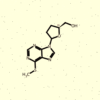 CSc1ncnc2c1ncn2C1CC[C@@H](CO)O1